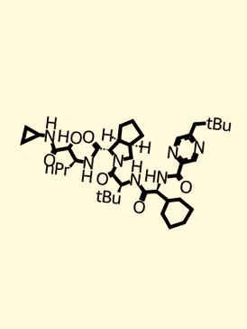 CCC[C@H](NC(=O)[C@@H]1[C@H]2CCC[C@H]2CN1C(=O)[C@@H](NC(=O)[C@@H](NC(=O)c1cnc(CC(C)(C)C)cn1)C1CCCCC1)C(C)(C)C)C(O)C(=O)NC1CC1